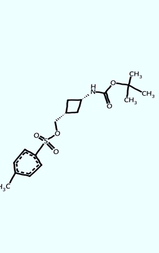 Cc1ccc(S(=O)(=O)OC[C@H]2C[C@@H](NC(=O)OC(C)(C)C)C2)cc1